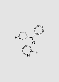 Fc1ncccc1OC(c1ccccc1)[C@@H]1CCNC1